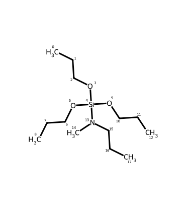 CCCO[Si](OCCC)(OCCC)N(C)CCC